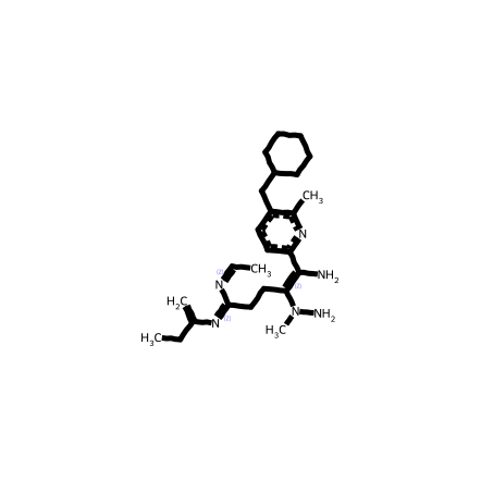 C=C(CC)/N=C(CC/C(=C(/N)c1ccc(CC2CCCCC2)c(C)n1)N(C)N)\N=C/C